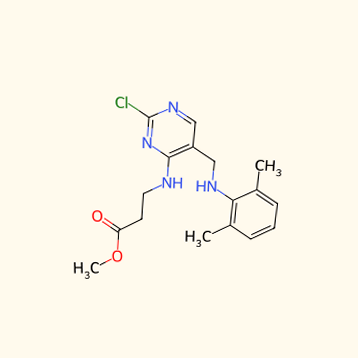 COC(=O)CCNc1nc(Cl)ncc1CNc1c(C)cccc1C